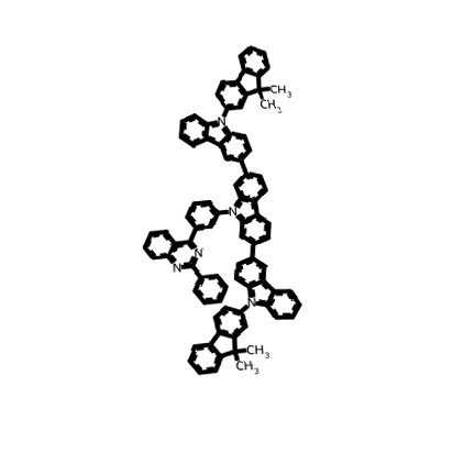 CC1(C)c2ccccc2-c2ccc(-n3c4ccccc4c4cc(-c5ccc6c7ccc(-c8ccc9c(c8)c8ccccc8n9-c8ccc9c(c8)C(C)(C)c8ccccc8-9)cc7n(-c7cccc(-c8nc(-c9ccccc9)nc9ccccc89)c7)c6c5)ccc43)cc21